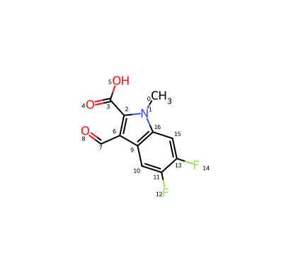 Cn1c(C(=O)O)c(C=O)c2cc(F)c(F)cc21